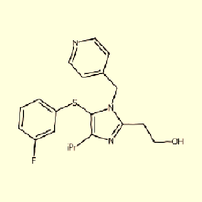 CC(C)c1nc(CCO)n(Cc2ccncc2)c1Sc1cccc(F)c1